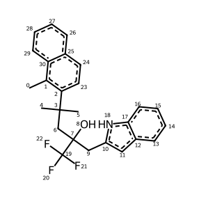 Cc1c(C(C)(C)CC(O)(Cc2cc3ccccc3[nH]2)C(F)(F)F)ccc2ccccc12